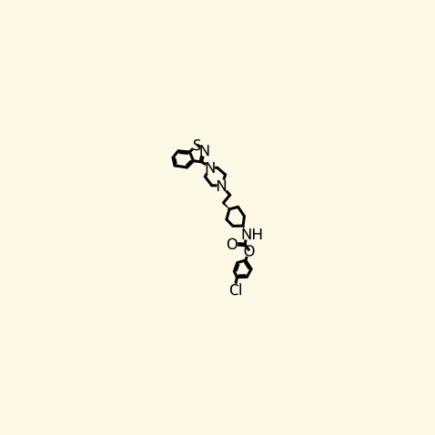 O=C(N[C@H]1CC[C@H](CCN2CCN(c3nsc4ccccc34)CC2)CC1)Oc1ccc(Cl)cc1